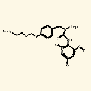 CCCCCCCN(Cc1ccc(OCOCCOC)cc1)C(=O)Nc1c(Cl)cc(Cl)cc1OCC